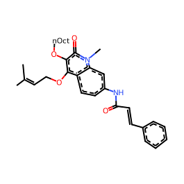 CCCCCCCCOc1c(OCC=C(C)C)c2ccc(NC(=O)/C=C/c3ccccc3)cc2n(C)c1=O